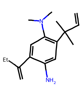 C=CC(C)(C)c1cc(N)c(C(=C)CC)cc1N(C)C